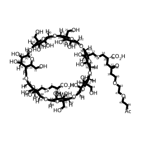 CN[C@H](CSCC1O[C@H]2O[C@H]3C(CO)O[C@H](O[C@@H]4C(CO)O[C@H](O[C@@H]5C(CO)O[C@H](O[C@@H]6C(CSC[C@@H](CC(=O)CCOCCOCCC(C)=O)C(=O)O)O[C@H](O[C@@H]7C(CO)O[C@@H](O[C@@H]8C(CO)O[C@@H](O[C@@H]1[C@H](O)C2O)C(O)[C@H]8O)C(O)[C@H]7O)C(O)[C@H]6O)C(O)[C@H]5O)C(O)[C@H]4O)C(O)[C@H]3O)C(=O)O